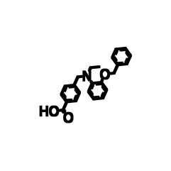 CCN(Cc1ccc(C(=O)O)cc1)c1ccccc1OCc1ccccc1